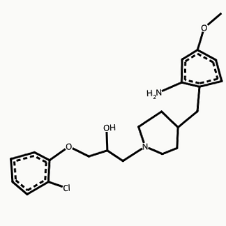 COc1ccc(CC2CCN(CC(O)COc3ccccc3Cl)CC2)c(N)c1